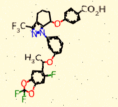 C[C@@H](Oc1cccc(-n2nc(C(F)(F)F)c3c2C(Oc2ccc(C(=O)O)cc2)CCC3)c1)c1cc2c(cc1F)OC(F)(F)O2